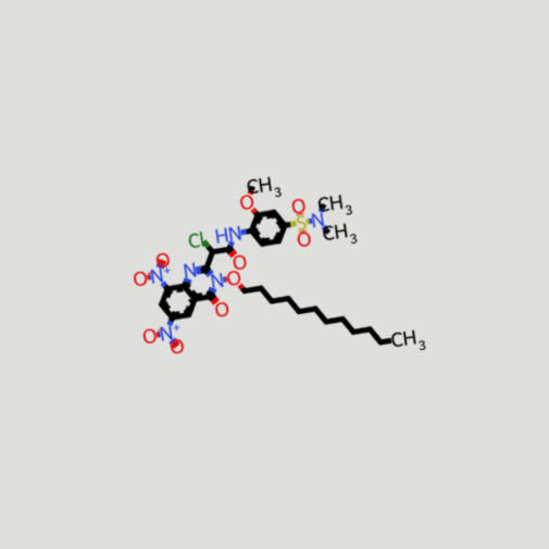 CCCCCCCCCCCCOn1c(C(Cl)C(=O)Nc2ccc(S(=O)(=O)N(C)C)cc2OC)nc2c([N+](=O)[O-])cc([N+](=O)[O-])cc2c1=O